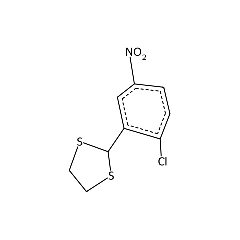 O=[N+]([O-])c1ccc(Cl)c(C2SCCS2)c1